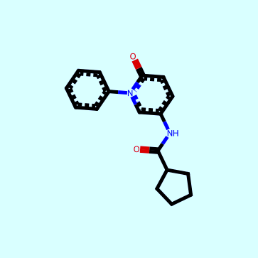 O=C(Nc1ccc(=O)n(-c2ccccc2)c1)C1CCCC1